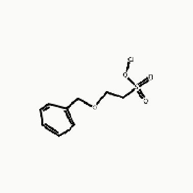 O=S(=O)(CCOCc1ccccc1)OCl